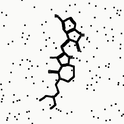 CCN(CC)CCN1CCCc2[nH]c(C=C3C(=O)Nc4ccc(Br)cc43)c(C)c2C1=O